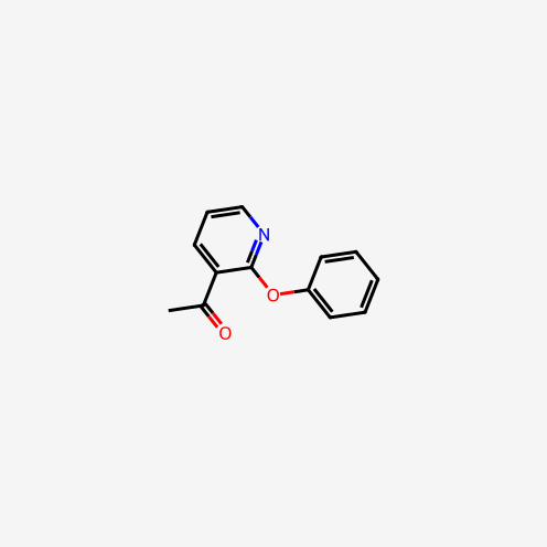 CC(=O)c1cccnc1Oc1ccccc1